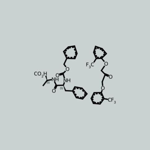 C[C@H](NC(=O)[C@H](Cc1ccccc1)NC(=O)OCc1ccccc1)C(=O)O.O=C(COc1ccccc1C(F)(F)F)COc1ccccc1C(F)(F)F